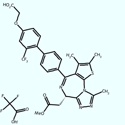 COC(=O)C[C@@H]1N=C(c2ccc(-c3ccc(OCC(=O)O)cc3C(F)(F)F)cc2)c2c(sc(C)c2C)-n2c(C)nnc21.O=C(O)C(F)(F)F